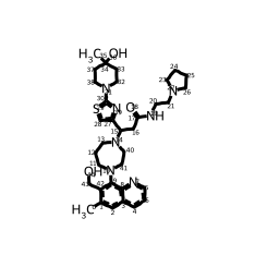 Cc1cc2cccnc2c(N2CCCN(C(CC(=O)NCCN3CCCC3)c3csc(N4CCC(C)(O)CC4)n3)CC2)c1CO